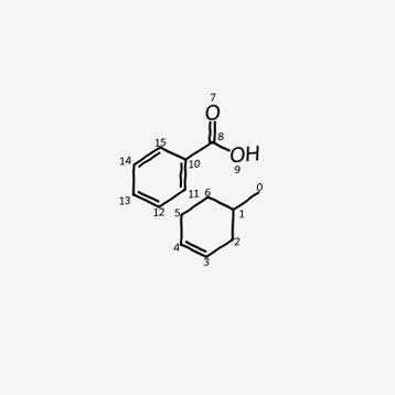 CC1CC=CCC1.O=C(O)c1ccccc1